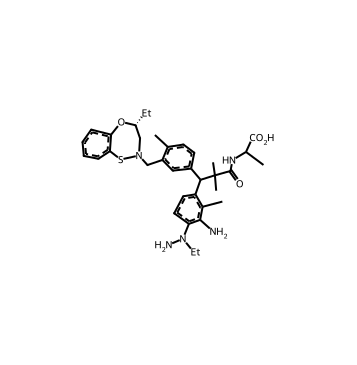 CC[C@@H]1CN(Cc2cc(C(c3ccc(N(N)CC)c(N)c3C)C(C)(C)C(=O)NC(C)C(=O)O)ccc2C)Sc2ccccc2O1